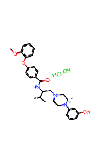 COc1ccccc1Oc1ccc(C(=O)NC(CN2CCN(c3cccc(O)c3)[C@@H](C)C2)C(C)C)cc1.Cl.Cl